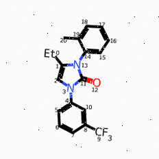 CCc1cn(-c2cccc(C(F)(F)F)c2)c(=O)n1-c1ccccc1C